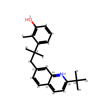 Cc1c(O)cccc1C(C)(C)Cc1ccc2ccc(C(C)(C)C)nc2c1